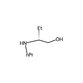 CCCN[C@H](CC)CO